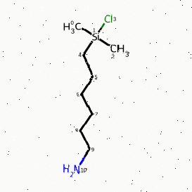 C[Si](C)(Cl)CCCCCCN